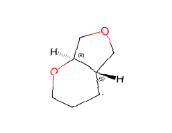 [CH]1CCO[C@H]2COC[C@H]12